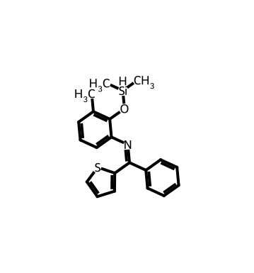 Cc1cccc(N=C(c2ccccc2)c2cccs2)c1O[SiH](C)C